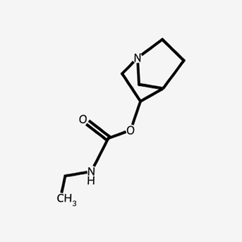 CCNC(=O)OC1CN2CCC1C2